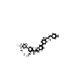 COc1cc(C2=NC(C)(C)CO2)ccc1Nc1nc2ccc(-c3ccc(NC(=O)Cc4ccc(F)cc4)cc3)cn2n1